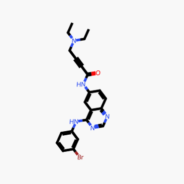 CCN(CC)CC#CC(=O)Nc1ccc2ncnc(Nc3cccc(Br)c3)c2c1